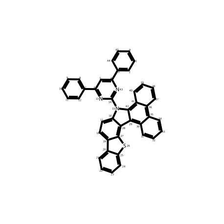 c1ccc(-c2cc(-c3ccccc3)nc(-n3c4ccc5c6ccccc6sc5c4c4c5ccccc5c5ccccc5c43)n2)cc1